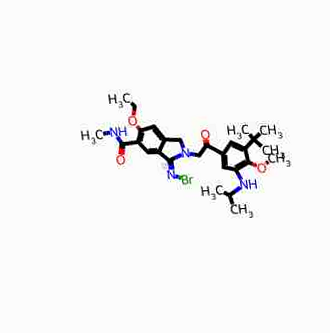 CCOc1cc2c(cc1C(=O)NC)/C(=N/Br)N(CC(=O)c1cc(NC(C)C)c(OC)c(C(C)(C)C)c1)C2